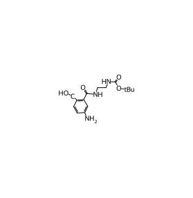 CC(C)(C)OC(=O)NCCNC(=O)c1cc(N)ccc1CO